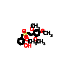 COc1cc(OC)c(C=CS(=O)(=O)Cc2cccc(O)c2OC)c(OC)c1